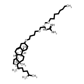 CCCCCCCCOC[C@@H](COCCCCOC1CC[C@@]2(C)C(=CC[C@H]3[C@@H]4CC[C@H]([C@H](C)CCCC(C)C)[C@@]4(C)CC[C@@H]32)C1)NC(=N)N